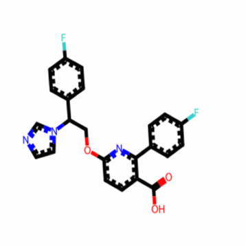 O=C(O)c1ccc(OCC(c2ccc(F)cc2)n2ccnc2)nc1-c1ccc(F)cc1